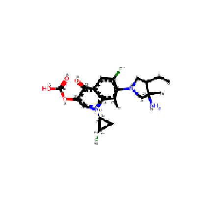 CCC1CN(c2c(F)cc3c(=O)c(OC(=O)O)cn([C@@H]4C[C@@H]4F)c3c2C)CC1(C)N